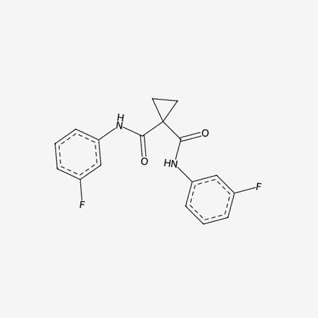 O=C(Nc1cccc(F)c1)C1(C(=O)Nc2cccc(F)c2)CC1